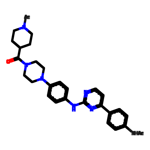 CC(=O)Nc1ccc(-c2ccnc(Nc3ccc(N4CCN(C(=O)C5CCN(C(C)=O)CC5)CC4)cc3)n2)cc1